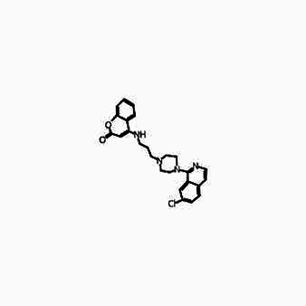 O=c1cc(NCCCN2CCN(c3nccc4ccc(Cl)cc34)CC2)c2ccccc2o1